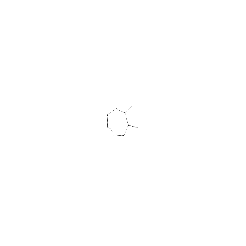 CC1CCCOCC1C